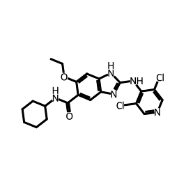 CCOc1cc2[nH]c(Nc3c(Cl)cncc3Cl)nc2cc1C(=O)NC1CCCCC1